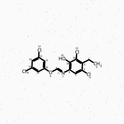 CCc1c(Cl)cc(/N=C/Oc2cc(Cl)cc(Cl)c2)c(O)c1Cl